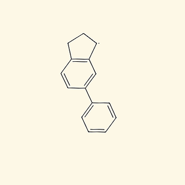 [CH]1CCc2ccc(-c3ccccc3)cc21